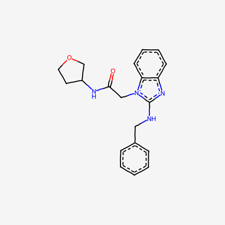 O=C(Cn1c(NCc2ccccc2)nc2ccccc21)NC1CCOC1